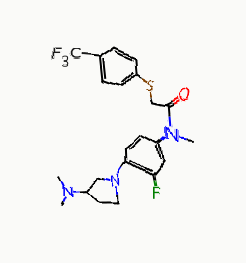 CN(C(=O)CSc1ccc(C(F)(F)F)cc1)c1ccc(N2CCC(N(C)C)C2)c(F)c1